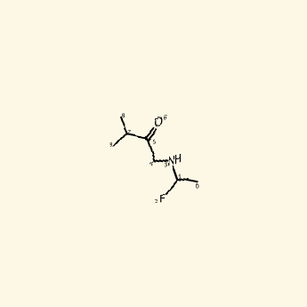 CC(F)NCC(=O)C(C)C